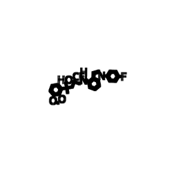 CC(C)(CC(O)(CNc1cccc2c1ccn2-c1ccc(F)cc1)C(F)(F)F)c1cccc2c1OCO2